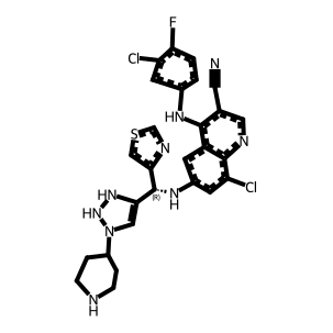 N#Cc1cnc2c(Cl)cc(N[C@H](C3=CN(C4CCNCC4)NN3)c3cscn3)cc2c1Nc1ccc(F)c(Cl)c1